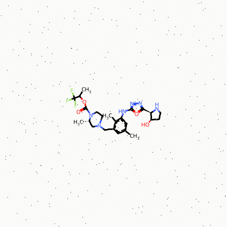 Cc1cc(CN2CCN(C(=O)OC(C)C(F)(F)F)[C@@H](C)C2)c(C)c(Nc2nnc([C@H]3NCC[C@H]3O)o2)c1